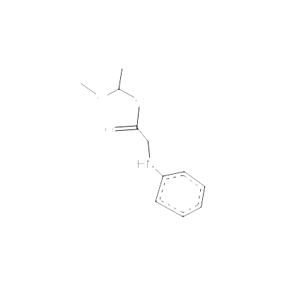 COC(C)OC(=O)CNc1ccccc1